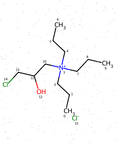 CCC[N+](CCC)(CCC)CC(O)CCl.[Cl-]